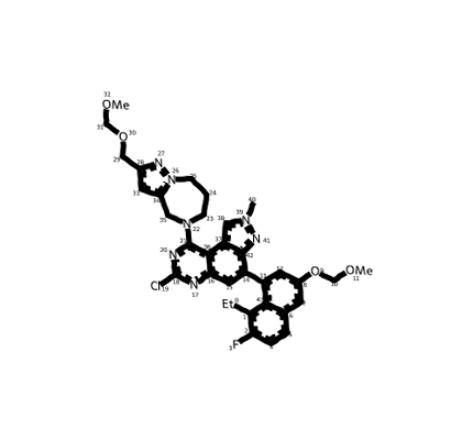 CCc1c(F)ccc2cc(OCOC)cc(-c3cc4nc(Cl)nc(N5CCCn6nc(COCOC)cc6C5)c4c4cn(C)nc34)c12